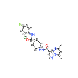 Cc1cc(C)n2ncc(C(=O)N[C@H]3CC[C@H](C(=O)Nc4ccc(F)cc4Cl)CC3)c2n1